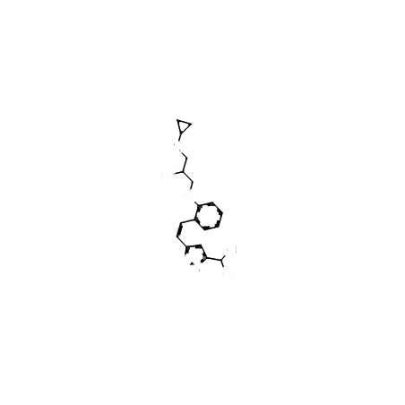 CC(C)c1cc(/C=C\c2ccccc2OCC(O)CNC2CC2)on1